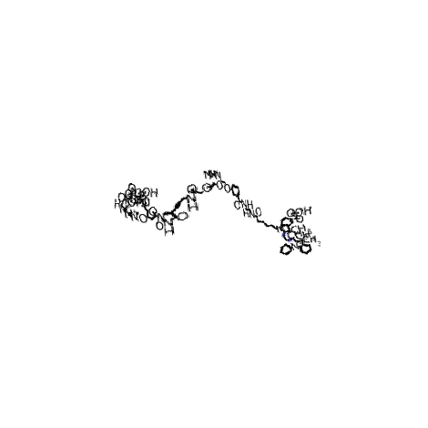 CC1(C)C(/C=C/C=C2/N(CCCCCC(=O)NCCNC(=O)c3cccc(OCC(N=[N+]=[N-])OCCOCC(=O)NCC#Cc4cn(C5CC(OCN=[N+]=[N-])C(COP(=O)(O)OP(=O)(O)OP(=O)(O)O)O5)c(=O)[nH]c4=O)c3)c3ccc(S(=O)(=O)O)cc3C2(C)C)=[N+](c2ccccc2)c2ccccc21